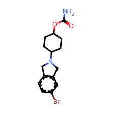 NC(=O)OC1CCC(N2Cc3ccc(Br)cc3C2)CC1